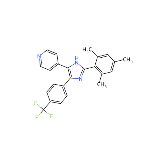 Cc1cc(C)c(-c2nc(-c3ccc(C(F)(F)F)cc3)c(-c3ccncc3)[nH]2)c(C)c1